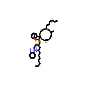 C=C/C=C\C=CC1=C/C(=C)/C=C\C=C/CC(C(/C=C\C)=C/C(/C=C\C)=C/C(CCC=C/C=C\C)Nc2ccccc2)(c2ccccc2S)C/C=C\1